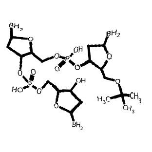 BC1CC(O)C(COP(=O)(O)OC2CC(B)OC2COP(=O)(O)OC2CC(B)OC2COC(C)(C)C)O1